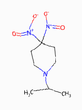 CC(C)N1CCC([N+](=O)[O-])([N+](=O)[O-])CC1